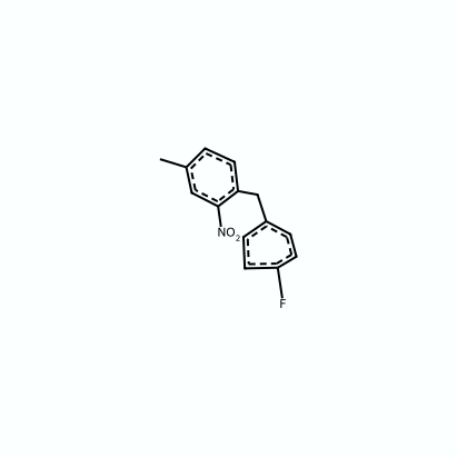 Cc1ccc(Cc2ccc(F)cc2)c([N+](=O)[O-])c1